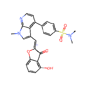 CN(C)S(=O)(=O)c1ccc(-c2ccnc3c2c(/C=C2\Oc4cccc(O)c4C2=O)cn3C)cc1